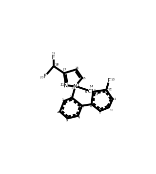 C[N+]1(c2ccccc2-c2cccc(F)c2)C=CC(C(F)F)=N1